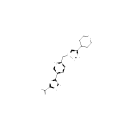 FC(F)c1nnc(-c2ccc(Cn3cc(C4CCNCC4)nn3)nc2)o1